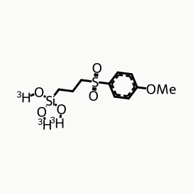 [3H]O[Si](CCCS(=O)(=O)c1ccc(OC)cc1)(O[3H])O[3H]